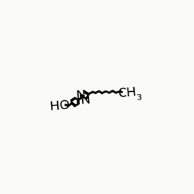 CCCCCCCCCCc1cnc(-c2ccc(CO)cc2)nc1